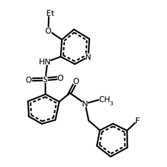 CCOc1ccncc1NS(=O)(=O)c1ccccc1C(=O)N(C)Cc1cccc(F)c1